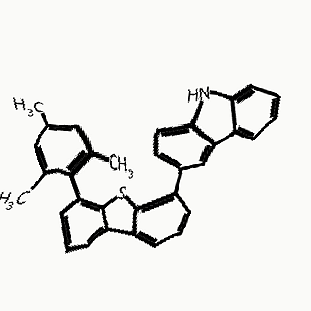 Cc1cc(C)c(-c2cccc3c2sc2c(-c4ccc5[nH]c6ccccc6c5c4)cccc23)c(C)c1